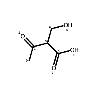 CC(=O)C(CO)C(=O)O